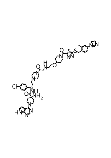 Cc1cc(-n2ccnc2)ccc1CSc1nnc(C(=O)N2CCC(OCCNCC(=O)N3CCN(CC[C@H](NC(=O)C4(N)CCN(c5ncnc6[nH]ccc56)CC4)c4ccc(Cl)cc4)CC3)CC2)s1